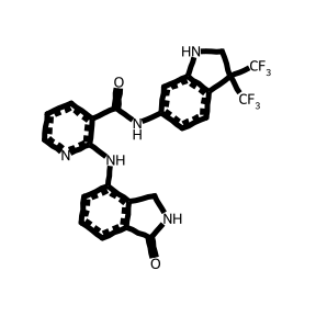 O=C(Nc1ccc2c(c1)NCC2(C(F)(F)F)C(F)(F)F)c1cccnc1Nc1cccc2c1CNC2=O